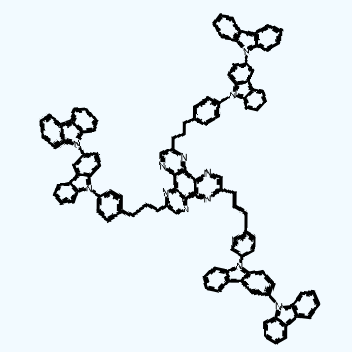 c1ccc2c(c1)c1ccccc1n2-c1ccc2c(c1)c1ccccc1n2-c1ccc(CCCc2cnc3c(n2)c2ncc(CCCc4ccc(-n5c6ccccc6c6cc(-n7c8ccccc8c8ccccc87)ccc65)cc4)nc2c2ncc(CCCc4ccc(-n5c6ccccc6c6cc(-n7c8ccccc8c8ccccc87)ccc65)cc4)nc32)cc1